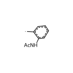 [CH2]c1ccccc1NC(C)=O